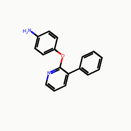 Nc1ccc(Oc2ncccc2-c2ccccc2)cc1